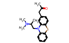 CC(=O)Cc1ccc2c(c1)N(CC(C)N(C)C)c1ccccc1S2